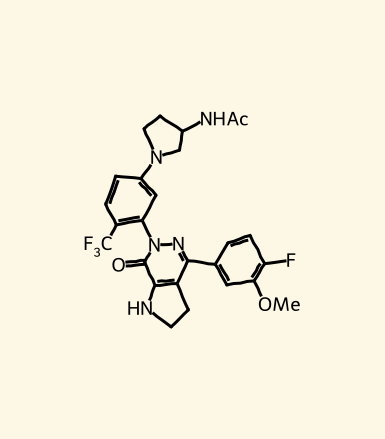 COc1cc(-c2nn(-c3cc(N4CCC(NC(C)=O)C4)ccc3C(F)(F)F)c(=O)c3c2CCN3)ccc1F